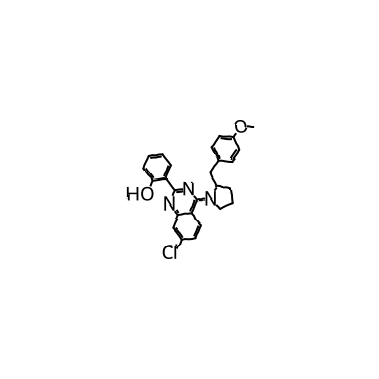 COc1ccc(CC2CCCN2c2nc(-c3ccccc3O)nc3cc(Cl)ccc23)cc1